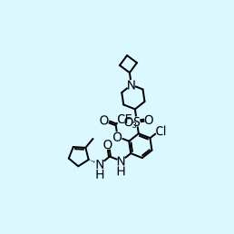 CC1=CCC[C@H]1NC(=O)Nc1ccc(Cl)c(S(=O)(=O)C2CCN(C3CCC3)CC2)c1OC(=O)C(F)(F)F